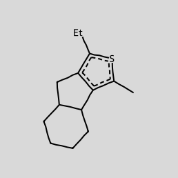 CCc1sc(C)c2c1CC1CCCCC21